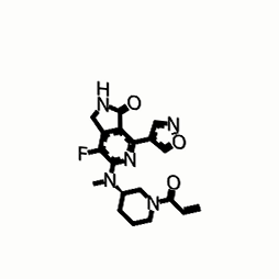 C=CC(=O)N1CCC[C@@H](N(C)c2nc(-c3cnoc3)c3c(c2F)CNC3=O)C1